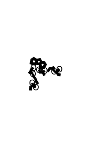 C=CC(=O)OC(C)CCOC(C)COc1cccc2c1-c1c(cccc1OCC(C)OCCC(C)OC(=O)C=C)C2